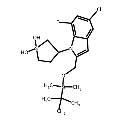 CC(C)(C)[Si](C)(C)OCc1cc2cc(Cl)cc(F)c2n1C1CCS(O)(O)C1